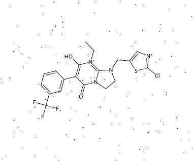 CC[n+]1c(O)c(-c2cccc(C(F)(F)F)c2)c(=O)n2c1N(Cc1cnc(Cl)s1)CC2